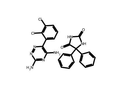 Nc1nnc(-c2cccc(Cl)c2Cl)c(N)n1.O=C1NC(=O)C(c2ccccc2)(c2ccccc2)N1